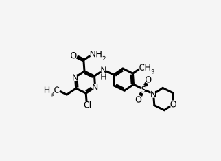 CCc1nc(C(N)=O)c(Nc2ccc(S(=O)(=O)N3CCOCC3)c(C)c2)nc1Cl